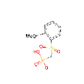 COc1ccccc1S(=O)(=O)CP(=O)(O)O